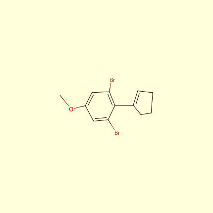 COc1cc(Br)c(C2=CCCC2)c(Br)c1